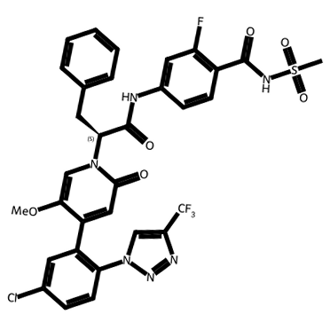 COc1cn([C@@H](Cc2ccccc2)C(=O)Nc2ccc(C(=O)NS(C)(=O)=O)c(F)c2)c(=O)cc1-c1cc(Cl)ccc1-n1cc(C(F)(F)F)nn1